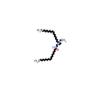 CCCCCCCC/C=C\CCCCCCCC(=O)NCCN1CCN(CC)C1CCCCCCC/C=C\CCCCCCCC